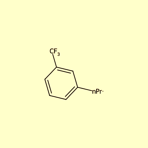 CC[CH]c1cccc(C(F)(F)F)c1